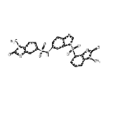 Cn1c(=O)oc2cc(S(=O)(=O)Nc3ccc4ncn(S(=O)(=O)c5cccc6c5oc(=O)n6C)c4c3)ccc21